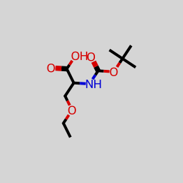 CCOCC(NC(=O)OC(C)(C)C)C(=O)O